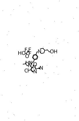 CC(C)CN(NC(=O)c1ccc(CN2CCC(CCO)CC2)cc1)c1nc(C#N)ncc1Cl.O=C(O)C(F)(F)F